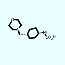 O=C(O)N[C@H]1CC[C@H](CN2CCOCC2)CC1